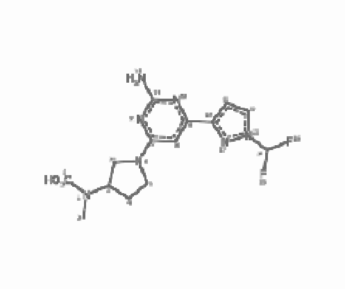 CN(C(=O)O)C1CCN(c2cc(-c3ccn(C(F)F)n3)nc(N)n2)C1